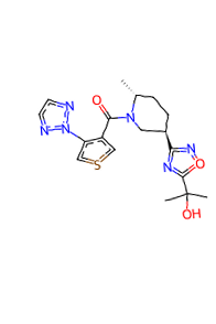 C[C@@H]1CC[C@@H](c2noc(C(C)(C)O)n2)CN1C(=O)c1cscc1-n1nccn1